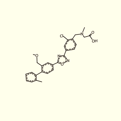 COCc1cc(-c2nc(-c3ccc(CN(C)CC(=O)O)c(Cl)c3)no2)ccc1-c1ccccc1C